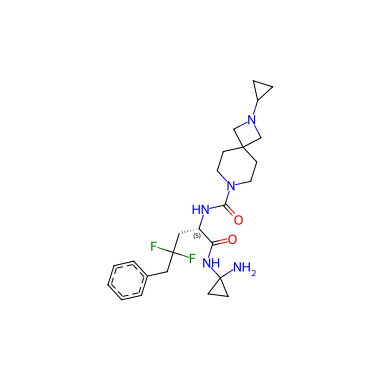 NC1(NC(=O)[C@H](CC(F)(F)Cc2ccccc2)NC(=O)N2CCC3(CC2)CN(C2CC2)C3)CC1